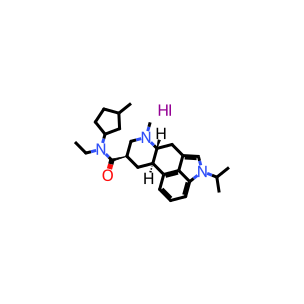 CCN(C(=O)[C@@H]1C[C@@H]2c3cccc4c3c(cn4C(C)C)C[C@H]2N(C)C1)C1CCC(C)C1.I